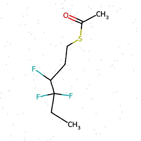 CCC(F)(F)C(F)CCSC(C)=O